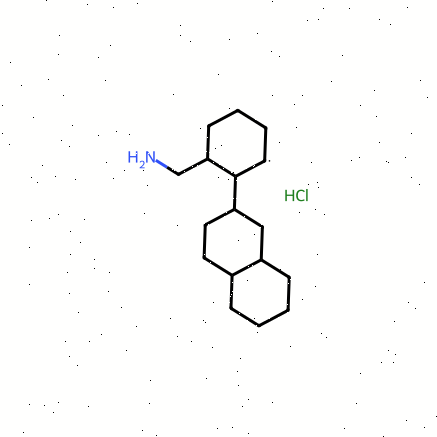 Cl.NCC1CCC[CH]C1C1CCC2CCCCC2C1